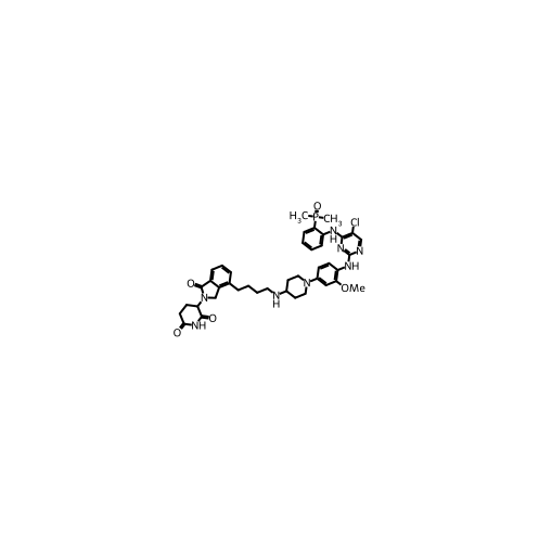 COc1cc(N2CCC(NCCCCc3cccc4c3CN(C3CCC(=O)NC3=O)C4=O)CC2)ccc1Nc1ncc(Cl)c(Nc2ccccc2P(C)(C)=O)n1